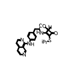 CC(C)SC1=C(N[C@@H](Cc2ccc(Nc3nccc4ccncc34)cc2)C(=O)O)C(C)(C)C1=O